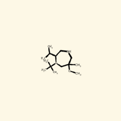 COC1(C)CNCC(C(C)C)N(C(C)(C)C)C1